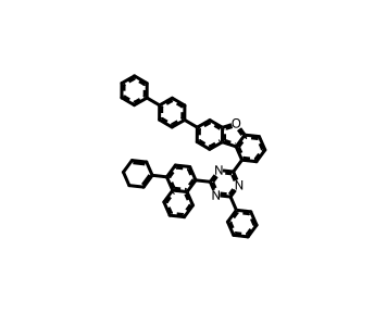 C1=CC(c2ccc(-c3nc(-c4ccccc4)nc(-c4cccc5oc6cc(-c7ccc(-c8ccccc8)cc7)ccc6c45)n3)c3ccccc23)=CCC1